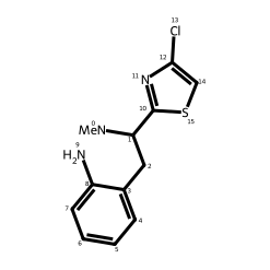 CNC(Cc1ccccc1N)c1nc(Cl)cs1